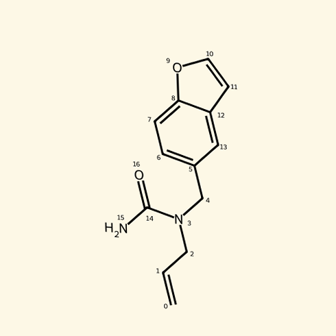 C=CCN(Cc1ccc2occc2c1)C(N)=O